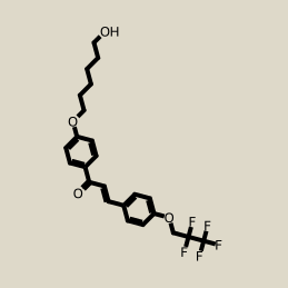 O=C(C=Cc1ccc(OCC(F)(F)C(F)(F)F)cc1)c1ccc(OCCCCCCO)cc1